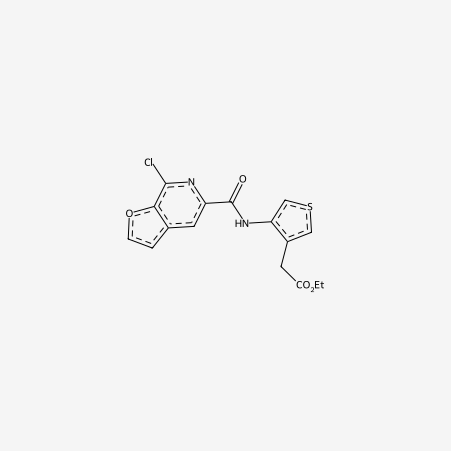 CCOC(=O)Cc1cscc1NC(=O)c1cc2ccoc2c(Cl)n1